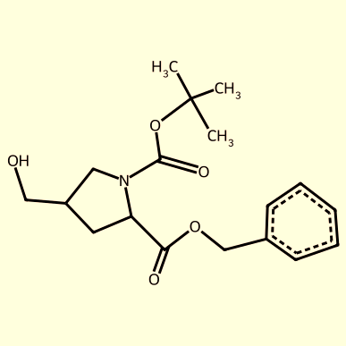 CC(C)(C)OC(=O)N1CC(CO)CC1C(=O)OCc1ccccc1